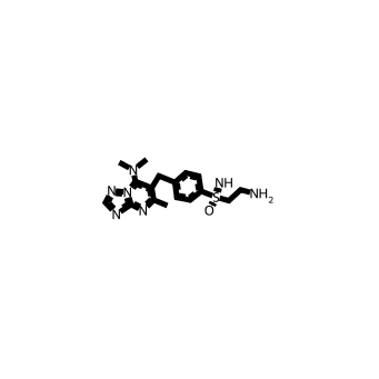 Cc1nc2ncnn2c(N(C)C)c1Cc1ccc(S(=N)(=O)CCN)cc1